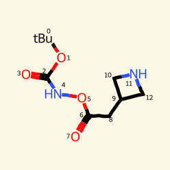 CC(C)(C)OC(=O)NOC(=O)CC1CNC1